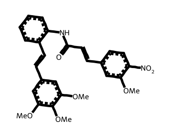 COc1cc(/C=C/C(=O)Nc2ccccc2/C=C/c2cc(OC)c(OC)c(OC)c2)ccc1[N+](=O)[O-]